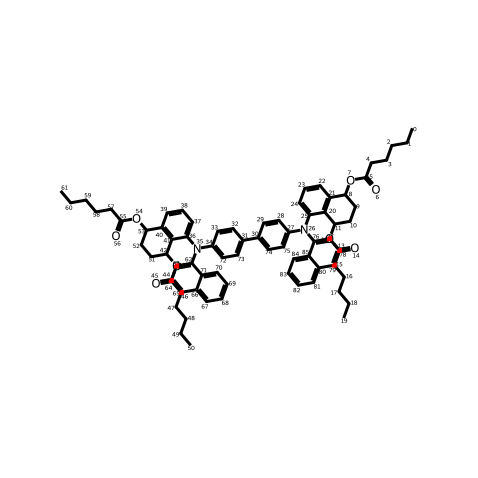 CCCCCC(=O)OC1CCC(OC(=O)CCCCC)c2c1cccc2N(c1ccc(-c2ccc(N(c3cccc4c3C(OC(=O)CCCCC)CCC4OC(=O)CCCCC)c3cccc4ccccc34)cc2)cc1)c1cccc2ccccc12